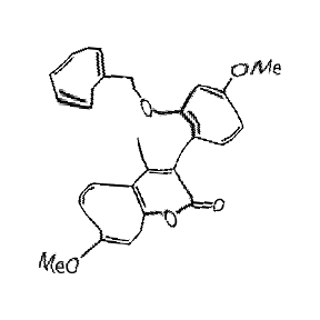 COc1ccc(-c2c(C)c3ccc(OC)cc3oc2=O)c(OCc2ccccc2)c1